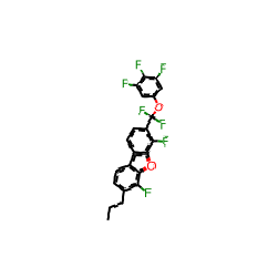 CCCc1ccc2c(oc3c(F)c(C(F)(F)Oc4cc(F)c(F)c(F)c4)ccc32)c1F